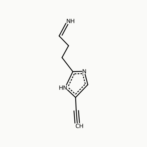 C#Cc1cnc(CCC=N)[nH]1